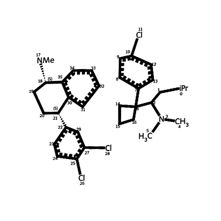 CC(C)CC(N(C)C)C1(c2ccc(Cl)cc2)CCC1.CN[C@H]1CC[C@@H](c2ccc(Cl)c(Cl)c2)c2ccccc21